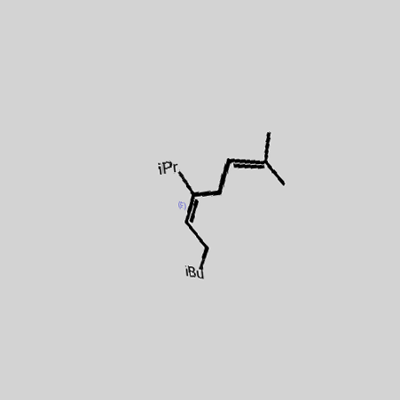 CCC(C)C/C=C(\CC=C(C)C)C(C)C